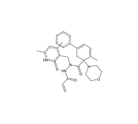 C=CC(=O)NN(Cc1c(C)cc(C)[nH]c1=O)C(=O)C1(N2CCOCC2)CC(c2ccccc2)=CC=C1C